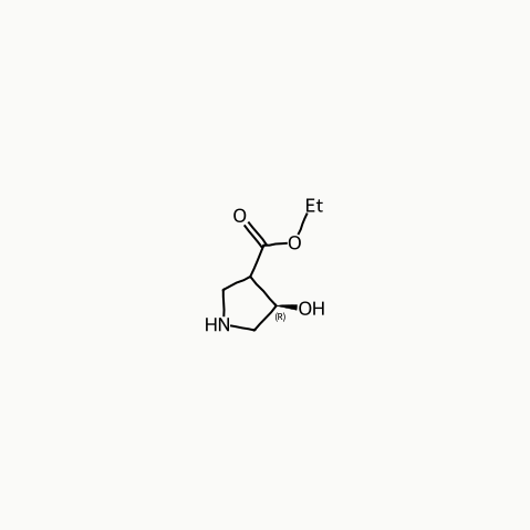 CCOC(=O)C1CNC[C@@H]1O